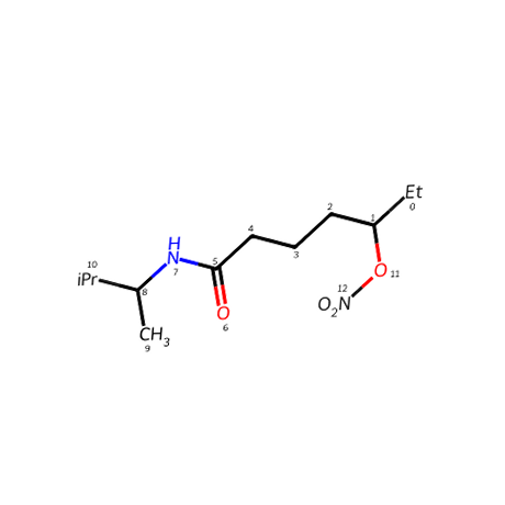 CCC(CCCC(=O)NC(C)C(C)C)O[N+](=O)[O-]